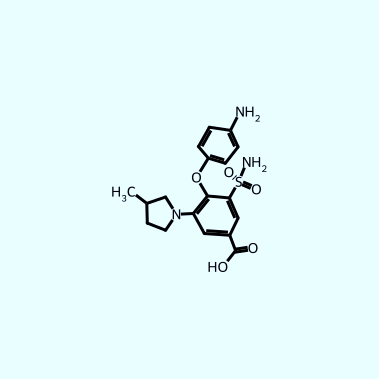 CC1CCN(c2cc(C(=O)O)cc(S(N)(=O)=O)c2Oc2ccc(N)cc2)C1